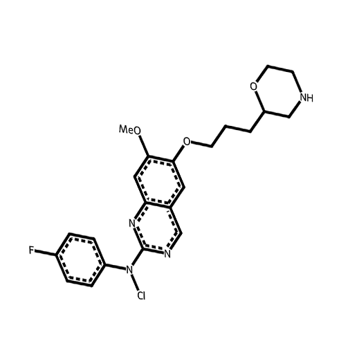 COc1cc2nc(N(Cl)c3ccc(F)cc3)ncc2cc1OCCCC1CNCCO1